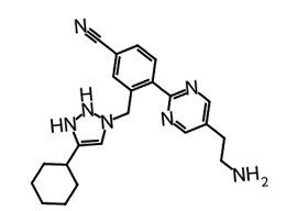 N#Cc1ccc(-c2ncc(CCN)cn2)c(CN2C=C(C3CCCCC3)NN2)c1